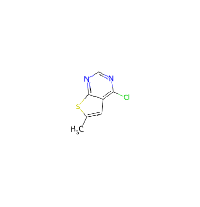 Cc1cc2c(Cl)ncnc2s1